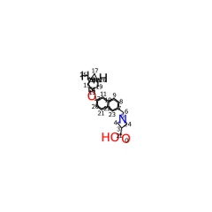 O=C(O)C1CN(Cc2ccc3cc(O[C@H]4C[C@@H]5C[C@@H]5C4)ccc3c2)C1